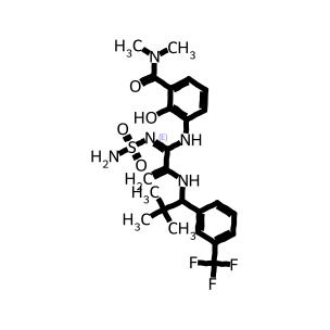 C=C(NC(c1cccc(C(F)(F)F)c1)C(C)(C)C)/C(=N\S(N)(=O)=O)Nc1cccc(C(=O)N(C)C)c1O